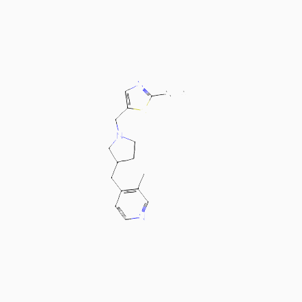 CC(=O)Nc1ncc(CN2CCC(Cc3ccncc3C)C2)s1